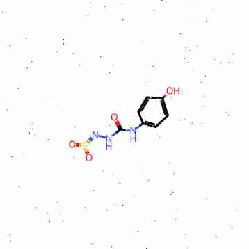 O=C(NN=S(=O)=O)Nc1ccc(O)cc1